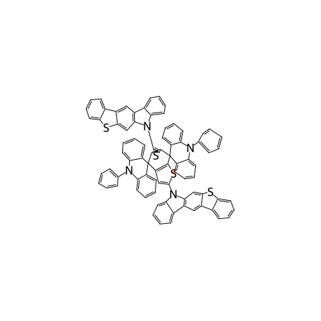 c1ccc(N2c3ccccc3C3(c4ccccc42)c2cc(-n4c5ccccc5c5cc6c(cc54)sc4ccccc46)sc2C2(c4ccccc4N(c4ccccc4)c4ccccc42)c2cc(-n4c5ccccc5c5cc6c(cc54)sc4ccccc46)sc23)cc1